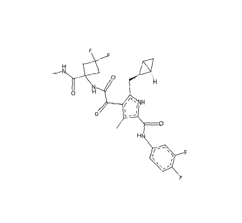 CNC(=O)C1(NC(=O)C(=O)c2c(C[C@H]3C4C[C@H]43)[nH]c(C(=O)Nc3ccc(F)c(F)c3)c2C)CC(F)(F)C1